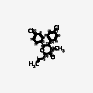 C=CC[C@H]1O[C@H](c2ccc(Cl)cc2)C(c2ccc(Cl)cc2)N(C)C1=O